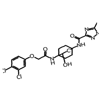 Cc1nc(C(=O)NC23CCC(NC(=O)COc4ccc(Cl)c(Cl)c4)(CC2)C(O)C3)n[nH]1